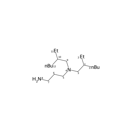 CCCCC(CC)CN(CCCN)CC(CC)CCCC